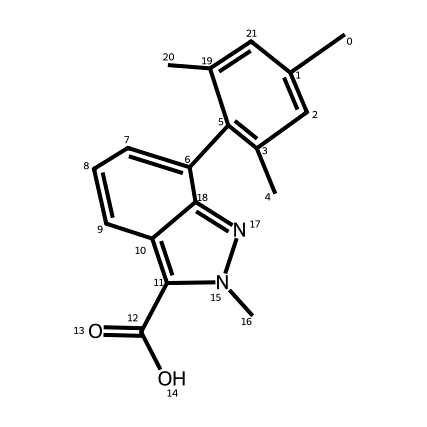 Cc1cc(C)c(-c2cccc3c(C(=O)O)n(C)nc23)c(C)c1